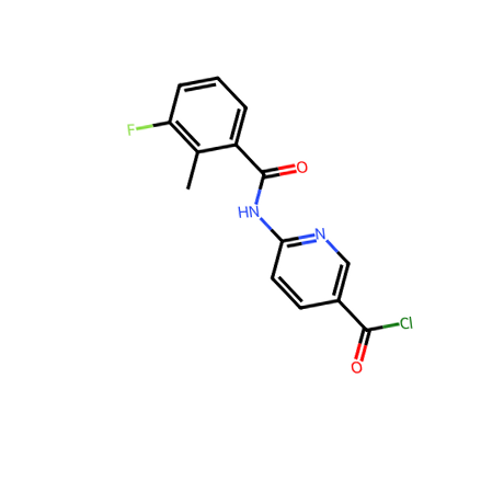 Cc1c(F)cccc1C(=O)Nc1ccc(C(=O)Cl)cn1